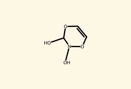 OC1OC=CON1O